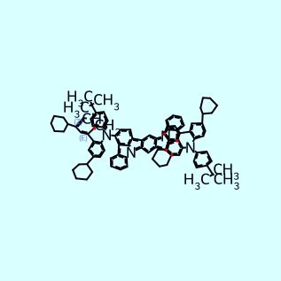 C=C/C(=C\C(=C/C)C1CCCCC1)c1cc(C2CCCCC2)ccc1N(c1ccc(C(C)(C)C)cc1)c1ccc2c3cc4c(cc3n3c5ccccc5c1c23)c1ccc(N(c2ccc(C(C)(C)C)cc2)c2ccc(C3CCCCC3)cc2-c2cccc(C3CCCCC3)c2)c2c3ccccc3n4c12